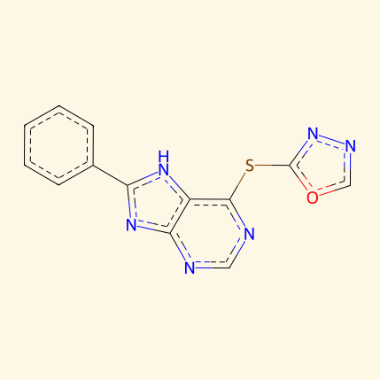 c1ccc(-c2nc3ncnc(Sc4nnco4)c3[nH]2)cc1